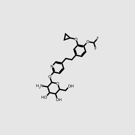 NC1C(Oc2ccc(CCc3ccc(OC(F)F)c(OC4CC4)c3)cn2)OC(CO)C(O)C1O